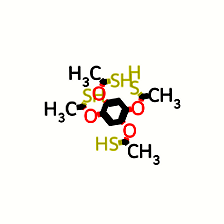 CC(S)Oc1cc(OC(C)S)c(OC(C)S)cc1OC(C)S